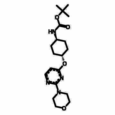 CC(C)(C)OC(=O)N[C@H]1CC[C@H](Oc2ccnc(N3CCOCC3)n2)CC1